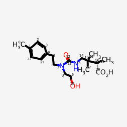 Cc1ccc(CCN(CCO)C(=O)NCC(C)(C)[C@H](C)C(=O)O)cc1